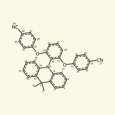 CC1(C)c2ccccc2N(c2c(Oc3ccc(C#N)cc3)cccc2Oc2ccc(C#N)cc2)c2ccccc21